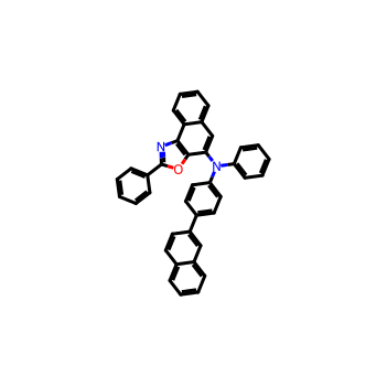 c1ccc(-c2nc3c(o2)c(N(c2ccccc2)c2ccc(-c4ccc5ccccc5c4)cc2)cc2ccccc23)cc1